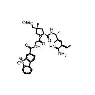 C/C=C(\C=C(/C)[C@@H](C)NC(=O)[C@@H]1C[C@](F)(COC)CN1C(=O)CNC(=O)c1ccc2c(c1)S(=O)(=O)c1ccccc1-2)C(=N)N